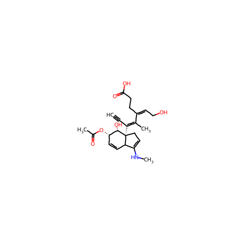 C#C/C(=C(C)\C(=C/CO)CCC(=O)O)[C@]12CC=C(NC)C1C=C[C@H](OC(C)=O)[C@@H]2O